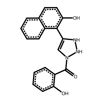 O=C(c1ccccc1O)N1C=C(c2c(O)ccc3ccccc23)NN1